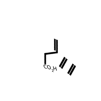 C=C.C=C.C=CCC(=O)O